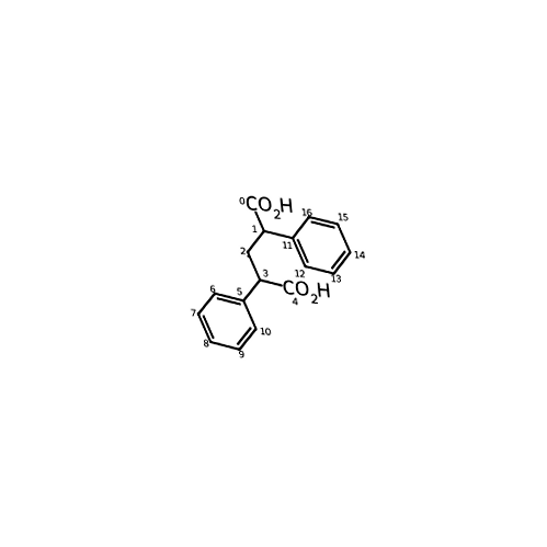 O=C(O)C([CH]C(C(=O)O)c1ccccc1)c1ccccc1